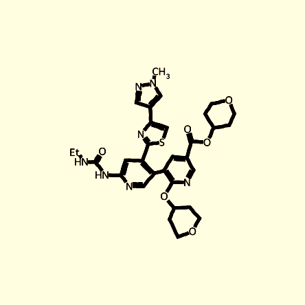 CCNC(=O)Nc1cc(-c2nc(-c3cnn(C)c3)cs2)c(-c2cc(C(=O)OC3CCOCC3)cnc2OC2CCOCC2)cn1